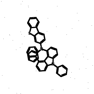 c1ccc(-c2cccc3c2c2c(N(c4ccccc4)c4ccc5c(c4)sc4ccccc45)cccc2n3-c2ccccc2)cc1